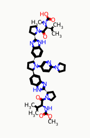 COC(=O)N[C@H](C(=O)N1CCC[C@H]1c1nc2cc([C@H]3CC[C@H](c4ccc5[nH]c([C@@H]6CCCN6C(=O)[C@H](C(C)C)N(C)C(=O)O)nc5c4)N3c3ccc(N4CCCC4)nc3)ccc2[nH]1)C(C)C